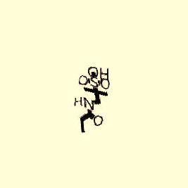 CCC(=O)NCC(C)(C)S(=O)(=O)O